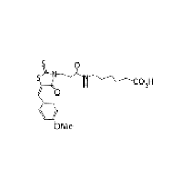 COc1ccc(/C=C2/SC(=S)N(CCC(=O)NCCCCCC(=O)O)C2=O)cc1